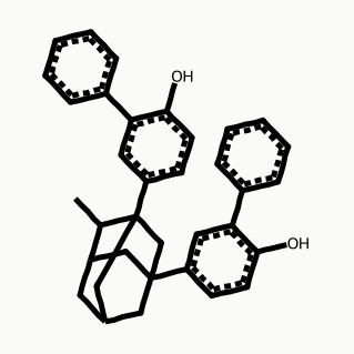 CC1C2CC3CC(c4ccc(O)c(-c5ccccc5)c4)(C2)CC1(c1ccc(O)c(-c2ccccc2)c1)C3